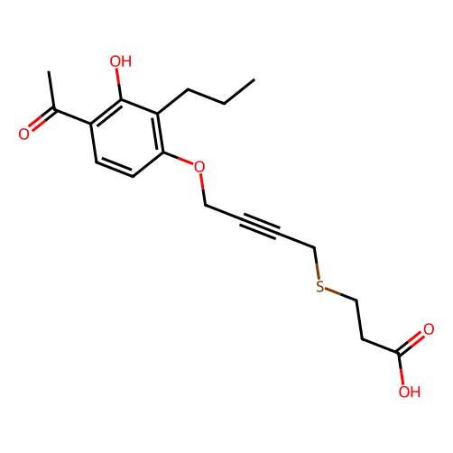 CCCc1c(OCC#CCSCCC(=O)O)ccc(C(C)=O)c1O